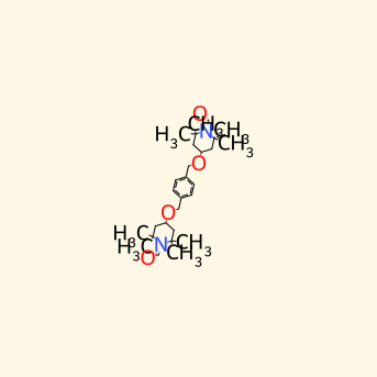 CC1(C)CC(OCc2ccc(COC3CC(C)(C)N(C=O)C(C)(C)C3)cc2)CC(C)(C)N1C=O